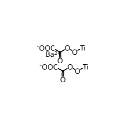 O=C([O-])C(=O)O[O][Ti].O=C([O-])C(=O)O[O][Ti].[Ba+2]